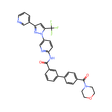 O=C(Nc1ccc(-n2nc(-c3cccnc3)cc2C(F)(F)F)cn1)c1cccc(-c2ccc(C(=O)N3CCOCC3)cc2)c1